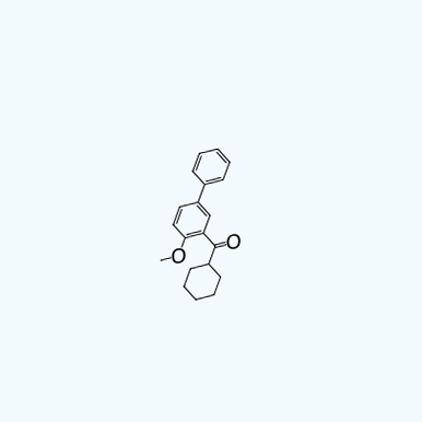 COc1ccc(-c2ccccc2)cc1C(=O)C1CCCCC1